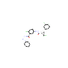 CN(NC(=O)c1cc(NC(=O)[C@H]2[C@H](c3ccc(Cl)c(Cl)c3)C2(Cl)Cl)ccc1Cl)c1ccccc1